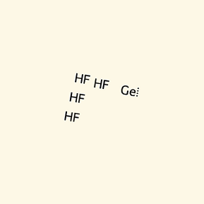 F.F.F.F.[Ge]